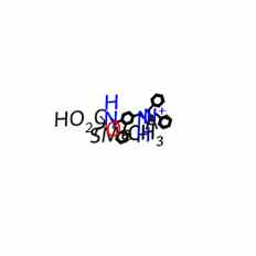 CSCC[C@H](NC(=O)c1ccc(CN[N+](Cc2ccccc2)(Cc2ccccc2)C(C)=O)cc1-c1ccccc1C)C(=O)O